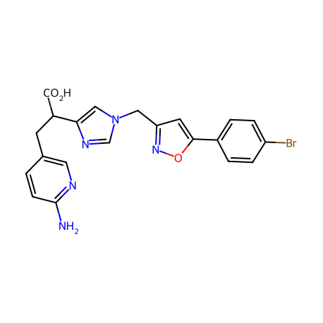 Nc1ccc(CC(C(=O)O)c2cn(Cc3cc(-c4ccc(Br)cc4)on3)cn2)cn1